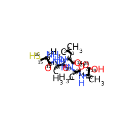 CC(C)C[C@H](NC(=O)[C@H](C)NC(=O)[C@@H](N)CS)C(=O)N[C@@H](C)C(=O)N[C@@H](C)C(=O)O